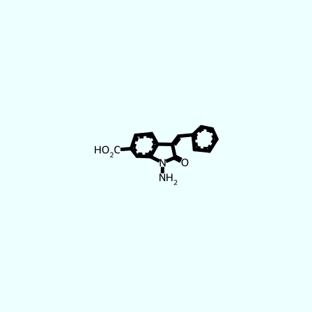 NN1C(=O)C(=Cc2ccccc2)c2ccc(C(=O)O)cc21